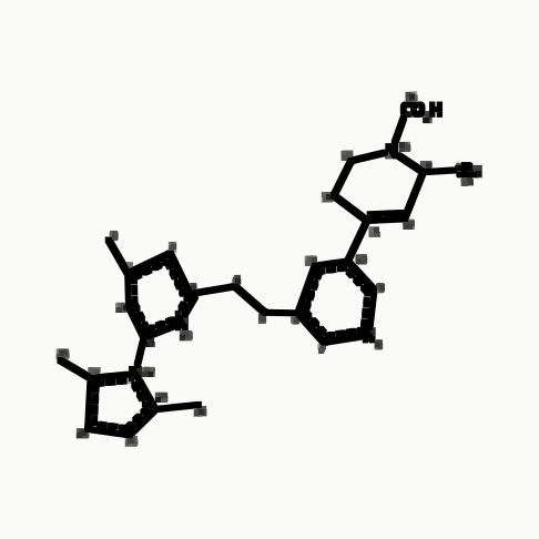 Cc1cc(CCc2cncc(C3=CC(C(C)(C)C)N(C(=O)O)CC3)c2)nc(-n2c(C)ccc2C)c1